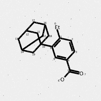 CCc1ccc(C([O])=O)cc1C12CC3CC(CC(C3)C1)C2